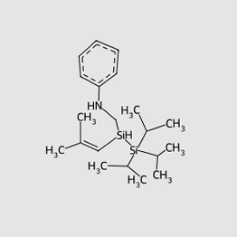 CC(C)=C[SiH](CNc1ccccc1)[Si](C(C)C)(C(C)C)C(C)C